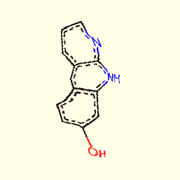 Oc1ccc2c(c1)[nH]c1ncccc12